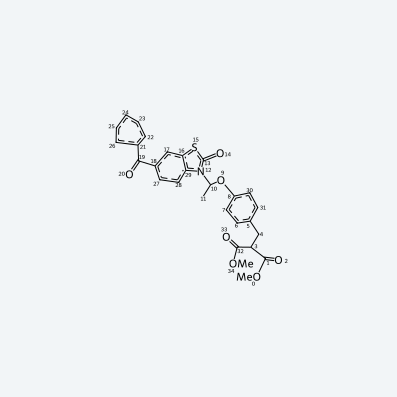 COC(=O)C(Cc1ccc(OC(C)n2c(=O)sc3cc(C(=O)c4ccccc4)ccc32)cc1)C(=O)OC